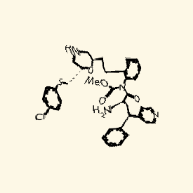 COC(=O)N(C(=O)[C@H](N)[C@H](c1ccccc1)c1ccncc1)c1ccccc1CC[C@@H]1CNC[C@@H](CSc2ccc(Cl)cc2)O1